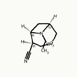 CC(C)N1[C@@H]2COC[C@@H](C#N)[C@H]1C2